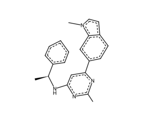 Cc1nc(N[C@@H](C)c2ccccc2)cc(-c2ccc3ccn(C)c3c2)n1